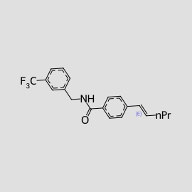 CCC/C=C/c1ccc(C(=O)NCc2cccc(C(F)(F)F)c2)cc1